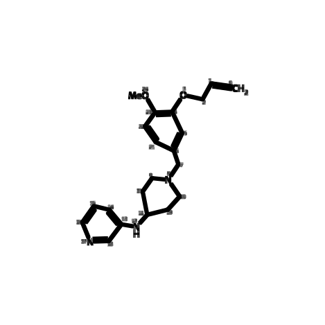 C=CCOc1cc(CN2CCC(Nc3cccnc3)CC2)ccc1OC